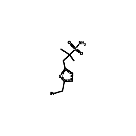 CC(C)Cc1ccc(CC(C)(C)S(N)(=O)=O)s1